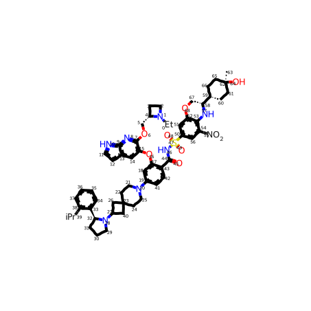 CCN1CC[C@H]1COc1nc2[nH]ccc2cc1Oc1cc(N2CCC3(CC2)CC(N2CCC[C@H]2c2ccccc2C(C)C)C3)ccc1C(=O)NS(=O)(=O)c1cc2c(c([N+](=O)[O-])c1)N[C@@H]([C@H]1CC[C@](C)(O)CC1)CO2